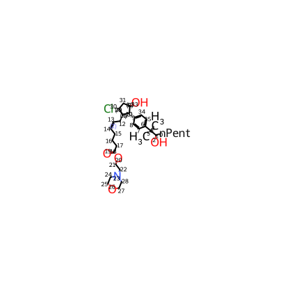 CCCCCC(O)C(C)(C)c1ccc([C@@H]2[C@@H](C/C=C\CCCC(=O)OCCN3CCOCC3)[C@H](Cl)C[C@H]2O)cc1